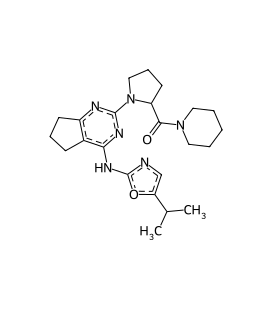 CC(C)c1cnc(Nc2nc(N3CCCC3C(=O)N3CCCCC3)nc3c2CCC3)o1